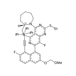 CCSc1nc2c3c(nc(-c4cc(OCOC)cc5ccc(F)c(C#C[Si](C(C)C)(C(C)C)C(C)C)c45)c(F)c3n1)CC[C@@H]1CCCCCN21